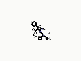 C/C=c1/oc(C2=CCC(F)C=C2)c(C(=O)OCC)/c1=C/C/C(=C/N)C1CCC1